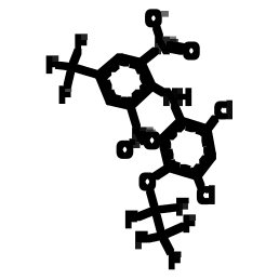 O=[N+]([O-])c1cc(C(F)(F)F)cc([N+](=O)[O-])c1Nc1cc(OC(F)(F)C(F)(F)F)c(Cl)cc1Cl